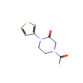 CC(C)COC(=O)N1CCN(c2ccsc2)C(=O)C1